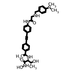 C=C(N[C@H](C(=O)NO)[C@@H](C)O)c1ccc(C#Cc2ccc(NC(=O)CNCc3ccc(N(C)C)cc3)cc2)cc1